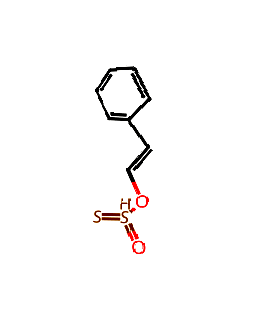 O=[SH](=S)OC=Cc1ccccc1